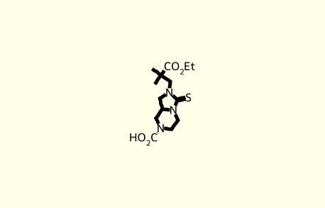 CCOC(=O)C(C)(C)CN1CC2CN(C(=O)O)CCN2C1=S